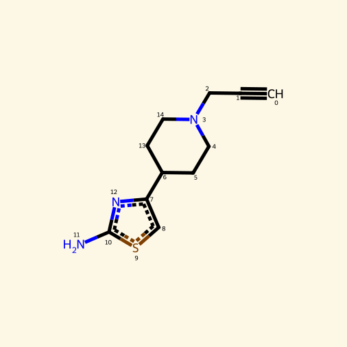 C#CCN1CCC(c2csc(N)n2)CC1